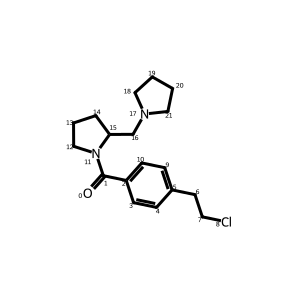 O=C(c1ccc(CCCl)cc1)N1CCCC1CN1CCCC1